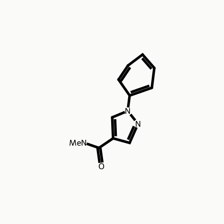 CNC(=O)c1cnn(-c2ccccc2)c1